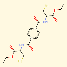 CCOC(=O)C(CS)NC(=O)c1ccc(C(=O)NC(CS)C(=O)OCC)cc1